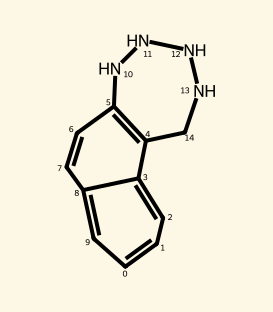 c1ccc2c3c(ccc2c1)NNNNC3